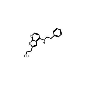 OCCc1cc2c(NCCc3ccccc3)ccnc2s1